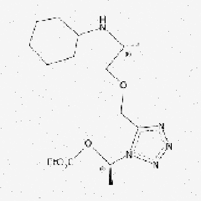 CCOC(=O)O[C@H](C)n1nnnc1COC[C@@H](C)NC1CCCCC1